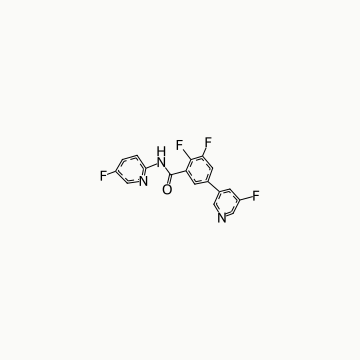 O=C(Nc1ccc(F)cn1)c1cc(-c2cncc(F)c2)cc(F)c1F